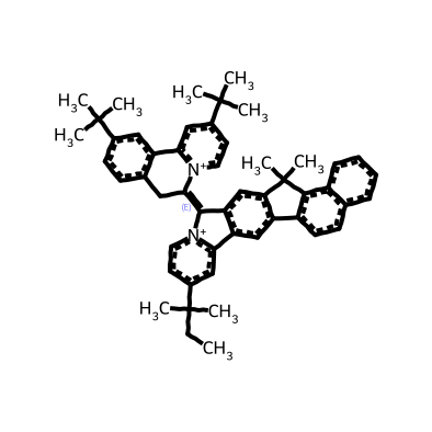 CCC(C)(C)c1cc[n+]2c(c1)-c1cc3c(cc1/C2=C1/Cc2ccc(C(C)(C)C)cc2-c2cc(C(C)(C)C)cc[n+]21)C(C)(C)c1c-3ccc2ccccc12